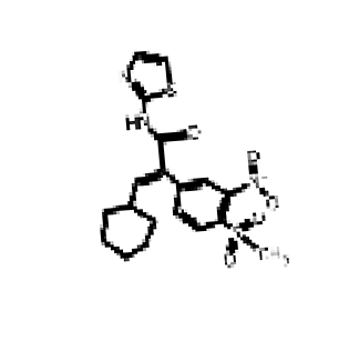 CS(=O)(=O)c1ccc(/C(=C\C2CCCCC2)C(=O)Nc2nccs2)cc1[N+](=O)[O-]